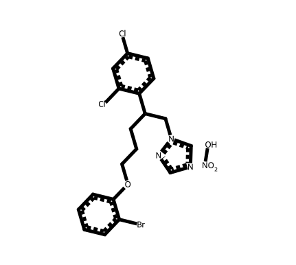 Clc1ccc(C(CCCOc2ccccc2Br)Cn2cncn2)c(Cl)c1.O=[N+]([O-])O